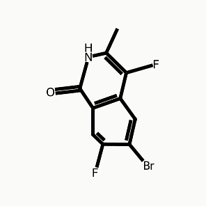 Cc1[nH]c(=O)c2cc(F)c(Br)cc2c1F